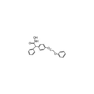 O=C(NO)C(c1ccccc1)c1ccc(OCCOc2ccccc2)cc1